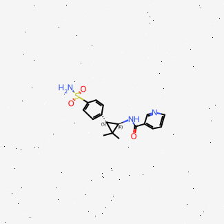 CC1(C)[C@H](NC(=O)c2cccnc2)[C@H]1c1ccc(S(N)(=O)=O)cc1